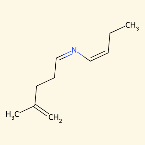 C=C(C)CC/C=N\C=C/CC